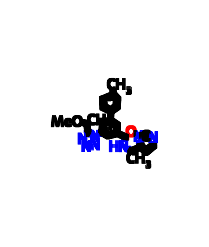 COC(C)c1nnnn1-c1cc(C(=O)NC(C)c2ccncn2)cc(-c2ccc(C)cc2)c1